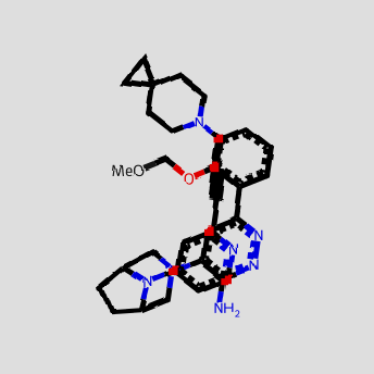 COCOc1ccccc1-c1cc(N2CC3CCC(C2)N3c2ccnc(C#CCN3CCC4(CC3)CC4)c2)c(N)nn1